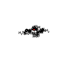 NC(=O)c1ccc[n+]([C@@H]2O[C@H](COP(=O)(O)OP(=O)(O)OC[C@H]3O[C@@H](n4cnc5c(N)ncnc54)[C@H](OP(=O)(O)O)[C@@H]3O)[C@@H](O)[C@H]2O)c1.[K+]